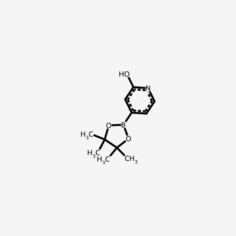 CC1(C)OB(c2ccnc(O)c2)OC1(C)C